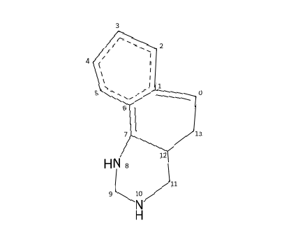 C1=c2ccccc2=C2NCNCC2C1